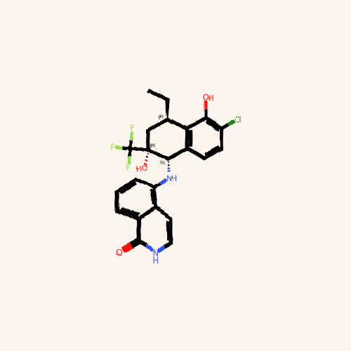 CC[C@@H]1C[C@](O)(C(F)(F)F)[C@@H](Nc2cccc3c(=O)[nH]ccc23)c2ccc(Cl)c(O)c21